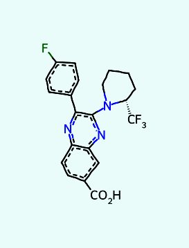 O=C(O)c1ccc2nc(-c3ccc(F)cc3)c(N3CCCC[C@@H]3C(F)(F)F)nc2c1